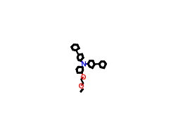 C=COCCOc1cccc(N(c2ccc(-c3ccccc3)cc2)c2ccc(-c3ccccc3)cc2)c1